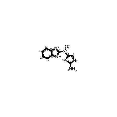 Nc1ncc([S+]([O-])c2nc3ccccc3[nH]2)s1